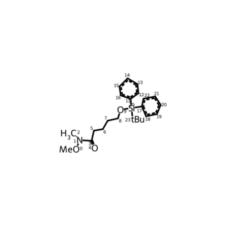 CON(C)C(=O)CCCCO[Si](c1ccccc1)(c1ccccc1)C(C)(C)C